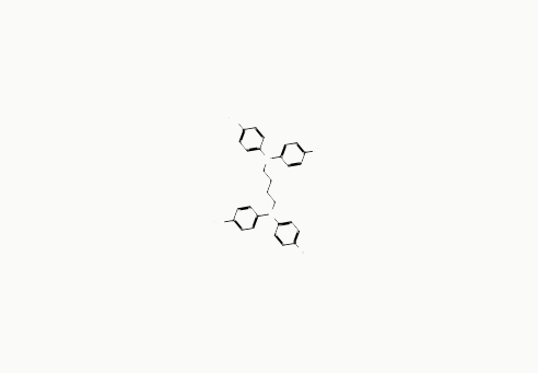 CC(=O)c1ccc(P(CCCCP(c2ccc(C(C)=O)cc2)c2ccc(C(C)=O)cc2)c2ccc(C(C)=O)cc2)cc1